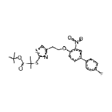 CC(C)(C)OC(=O)C(C)(C)Sc1nc(CCOc2ccc(-c3ccc(F)cc3)cc2[N+](=O)[O-])cs1